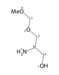 COCOCC(N)CO